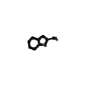 Bc1cc2ccccc2s1